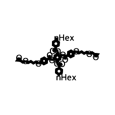 CCCCCCC1CCC(C(=O)Oc2cc(OC(=O)c3ccc(OCCCCOCC4CO4)cc3)c(OC(=O)C3CCC(CCCCCC)CC3)cc2OC(=O)c2ccc(OCCCCOCC3CO3)cc2)CC1